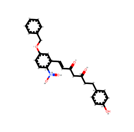 O=C(/C=C/c1cc(OCc2ccccc2)ccc1[N+](=O)[O-])CC(=O)CCc1ccc(O)cc1